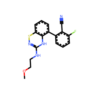 COCCNC1=NSc2cccc(-c3cccc(F)c3C#N)c2N1